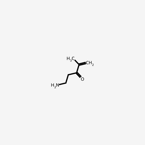 C=C(C)C(=O)CCN